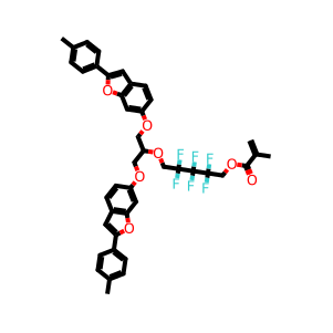 C=C(C)C(=O)OCC(F)(F)C(F)(F)C(F)(F)COC(COc1ccc2cc(-c3ccc(C)cc3)oc2c1)COc1ccc2cc(-c3ccc(C)cc3)oc2c1